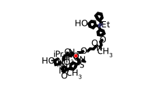 CC/C(=C(/c1ccc(O)cc1)c1ccc(OCCN(C)C(=O)CCCOCCOc2cc(C(C(=O)N3C[C@H](O)C[C@H]3C3=NC(=O)[C@@](C)(c4ccc(-c5scnc5C)cc4)N3)C(C)C)on2)cc1)c1ccccc1